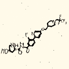 O=C(NC(=O)[C@@H]1C[C@@H](O)CN1)c1ccc(-c2ccc(OCC3CCN(CC(F)(F)C(F)(F)F)CC3)cn2)c(F)c1